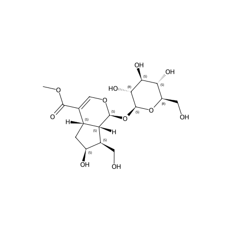 COC(=O)C1=CO[C@@H](O[C@@H]2O[C@H](CO)[C@@H](O)[C@H](O)[C@H]2O)[C@@H]2[C@@H](CO)[C@@H](O)C[C@H]12